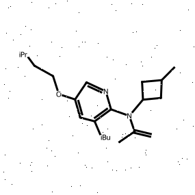 C=C(C)N(c1ncc(OCCC(C)C)cc1C(C)CC)C1CC(C)C1